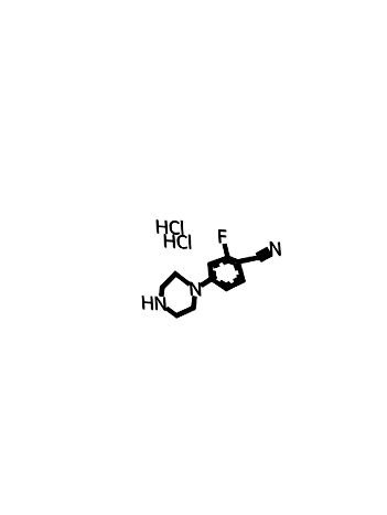 Cl.Cl.N#Cc1ccc(N2CCNCC2)cc1F